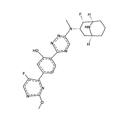 COc1ncc(F)c(-c2ccc(-c3ncc(N(C)[C@H]4C[C@@H]5CCC[C@@H](N5)[C@H]4F)nn3)c(O)c2)n1